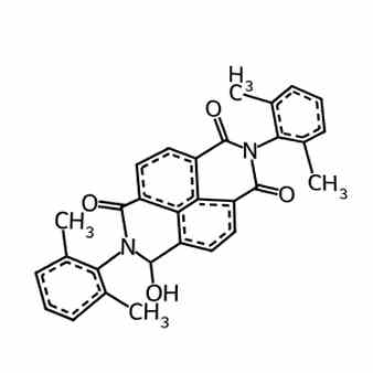 Cc1cccc(C)c1N1C(=O)c2ccc3c4c(ccc(c24)C1=O)C(O)N(c1c(C)cccc1C)C3=O